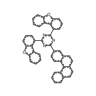 c1ccc2c(c1)ccc1ccc3cc(-c4nc(-c5cccc6oc7ccccc7c56)nc(-c5cccc6oc7ccccc7c56)n4)ccc3c12